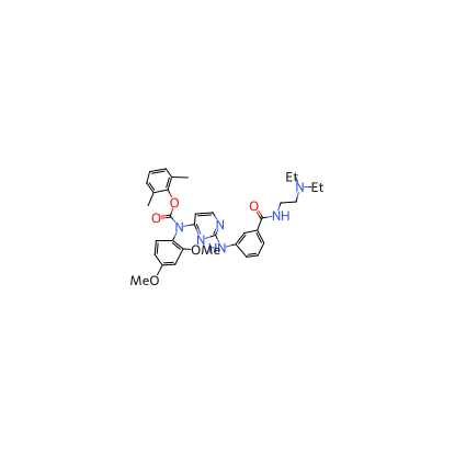 CCN(CC)CCNC(=O)c1cccc(Nc2nccc(N(C(=O)Oc3c(C)cccc3C)c3ccc(OC)cc3OC)n2)c1